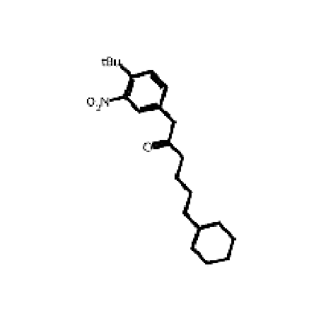 CC(C)(C)c1ccc(CC(=O)CCCCC2CCCCC2)cc1[N+](=O)[O-]